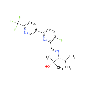 CC(C)[C@@H](/N=C/c1nc(-c2ccc(C(F)(F)F)nc2)ccc1F)C(C)(C)O